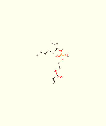 C=CC(=O)OCCOP(=O)(O)OC(CC)CCCCC